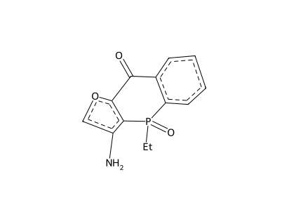 CCP1(=O)c2ccccc2C(=O)c2occ(N)c21